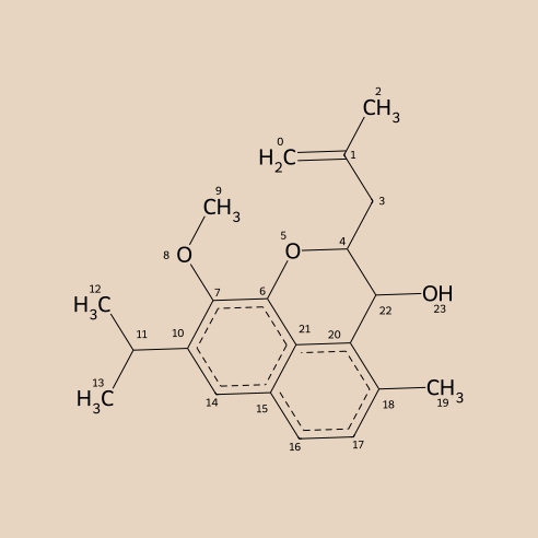 C=C(C)CC1Oc2c(OC)c(C(C)C)cc3ccc(C)c(c23)C1O